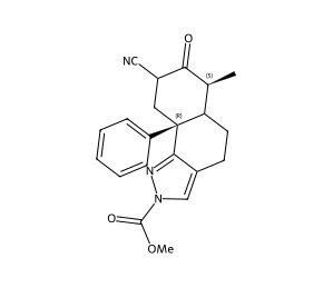 COC(=O)n1cc2c(n1)[C@]1(c3ccccc3)CC(C#N)C(=O)[C@@H](C)C1CC2